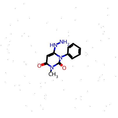 Cn1c(=O)cc(NN)n(-c2ccccc2)c1=O